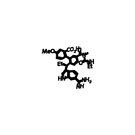 CCNC(=O)N(C)C(=O)c1ccc(C(CC)c2c[nH]c3cc(C(=N)N)ccc23)c(-c2ccc(OC)cc2C(=O)O)c1